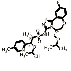 Cc1ccc([C@H](OC(C)C)[C@H](C)S(=O)(=O)Nc2nnc3n2[C@@H](COC(C)C)COc2ccc(F)cc2-3)nc1